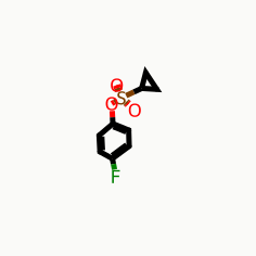 O=S(=O)(Oc1ccc(F)cc1)C1CC1